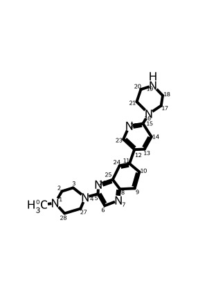 CN1CCN(c2cnc3ccc(-c4ccc(N5CCNCC5)nc4)cc3n2)CC1